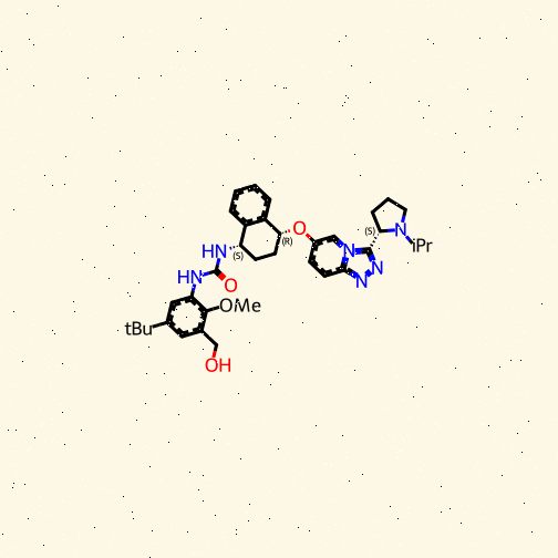 COc1c(CO)cc(C(C)(C)C)cc1NC(=O)N[C@H]1CC[C@@H](Oc2ccc3nnc([C@@H]4CCCN4C(C)C)n3c2)c2ccccc21